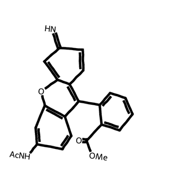 COC(=O)c1ccccc1-c1c2ccc(=N)cc-2oc2cc(NC(C)=O)ccc12